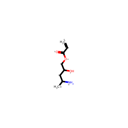 C=CC(=O)OCC(O)CC(C)N